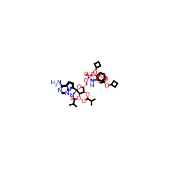 CC(C)C(=O)O[C@H]1[C@@H](OC(=O)C(C)C)[C@](C#N)(c2ccc3c(N)ncnn23)O[C@@H]1COP(=O)(N[C@@H](CC(=O)OC1CCC1)C(=O)OC1CCC1)Oc1ccccc1